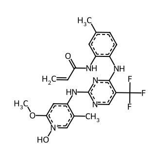 C=CC(=O)Nc1cc(C)ccc1Nc1nc(Nc2cc(OC)[n+](O)cc2C)ncc1C(F)(F)F